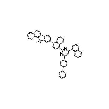 CC1(C)c2cc(-c3ccc(-c4nc(-c5ccc(-c6ccccc6)cc5)cc(-c5cccc6ccccc56)n4)c4ccccc34)ccc2-c2ccc3ccccc3c21